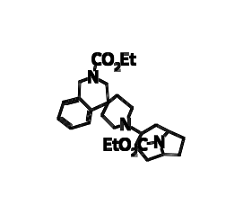 CCOC(=O)N1Cc2ccccc2C2(CCN(C3CCC4CCC(C3)N4C(=O)OCC)CC2)C1